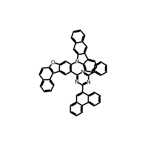 c1ccc(-c2nc(-c3cc4c(cc3-n3c5ccccc5c5cc6ccccc6cc53)oc3ccc5ccccc5c34)nc(-c3cc4ccccc4c4ccccc34)n2)cc1